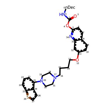 CCCCCCCCCCNC(=O)Oc1ccc2ccc(OCCCCN3CCN(c4cccc5sccc45)CC3)cc2n1